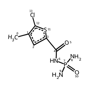 Cc1cc(C(=O)NP(N)(N)=O)sc1Cl